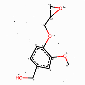 COc1cc(CO)ccc1OCC1CO1